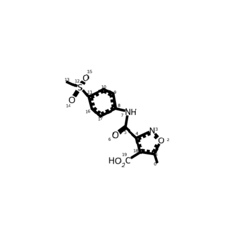 Cc1onc(C(=O)Nc2ccc(S(C)(=O)=O)cc2)c1C(=O)O